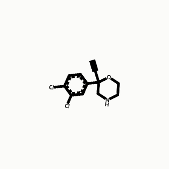 C#CC1(c2ccc(Cl)c(Cl)c2)CNCCO1